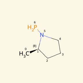 C[C@@H]1CCCN1P